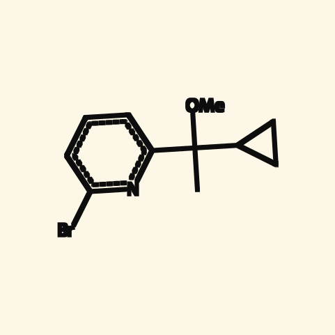 COC(C)(c1cccc(Br)n1)C1CC1